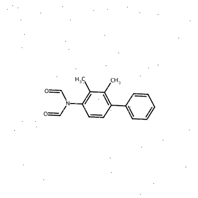 Cc1c(-c2ccccc2)ccc(N(C=O)C=O)c1C